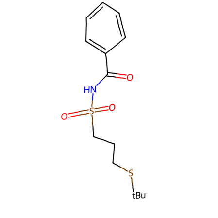 CC(C)(C)SCCCS(=O)(=O)NC(=O)c1ccccc1